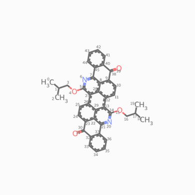 CC(C)COc1nc2c3c(ccc4c5c(OCC(C)C)nc6c7c(ccc(c1c34)c75)C(=O)c1ccccc1-6)C(=O)c1ccccc1-2